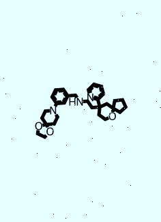 c1ccc(C2(CCNCc3cccc(N4CCC5(CC4)OCCO5)c3)CCOC3(CCCC3)C2)nc1